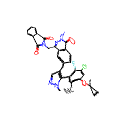 Cn1ncc(-c2ccc3c(=O)[nH]nc(CN4C(=O)c5ccccc5C4=O)c3c2)c1-c1c(F)c(Cl)cc(OC2(C)CC2)c1C#N